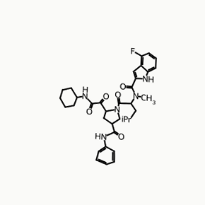 CC(C)CC(C(=O)N1CC(C(=O)Nc2ccccc2)CC1C(=O)C(=O)NC1CCCCC1)N(C)C(=O)c1cc2c(F)cccc2[nH]1